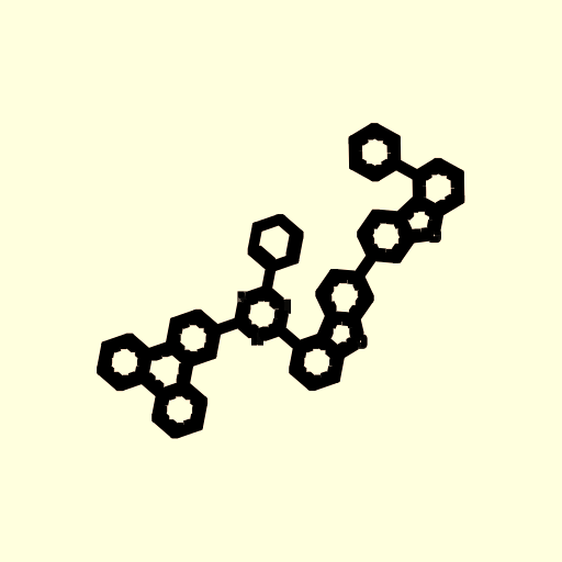 C1=CC(c2nc(-c3ccc4c5ccccc5c5ccccc5c4c3)nc(-c3cccc4oc5cc(-c6ccc7c(c6)oc6cccc(-c8ccccc8)c67)ccc5c34)n2)=CCC1